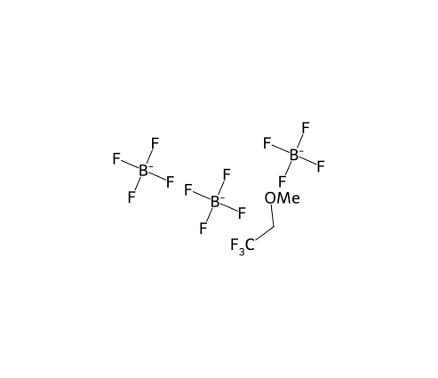 COCC(F)(F)F.F[B-](F)(F)F.F[B-](F)(F)F.F[B-](F)(F)F